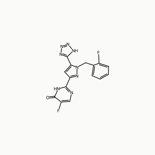 O=c1[nH]c(-c2cc(-c3nnn[nH]3)n(Cc3ccccc3F)n2)ncc1F